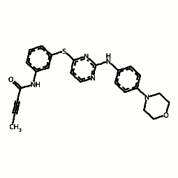 CC#CC(=O)Nc1cccc(Sc2ccnc(Nc3ccc(N4CCOCC4)cc3)n2)c1